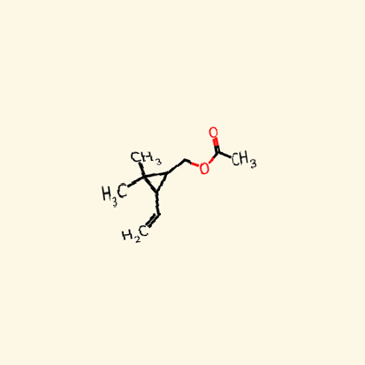 C=CC1C(COC(C)=O)C1(C)C